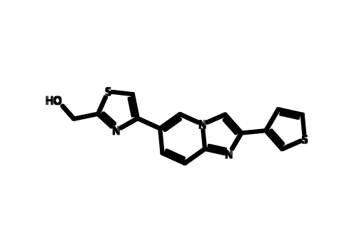 OCc1nc(-c2ccc3nc(-c4ccsc4)cn3c2)cs1